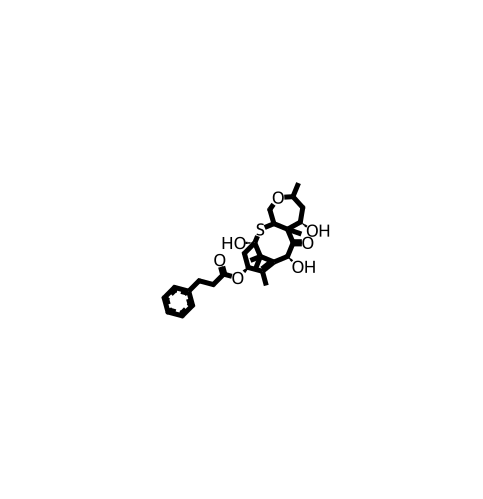 CC1=C2[C@@H](O)C(=O)C3(C)C(COC(C)C[C@@H]3O)S[C@](O)(C[C@@H]1OC(=O)CCc1ccccc1)C2(C)C